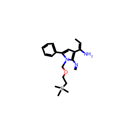 C=Nc1c(/C(N)=C\C)cc(-c2ccccc2)n1COCC[Si](C)(C)C